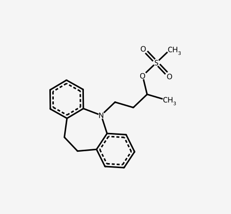 CC(CCN1c2ccccc2CCc2ccccc21)OS(C)(=O)=O